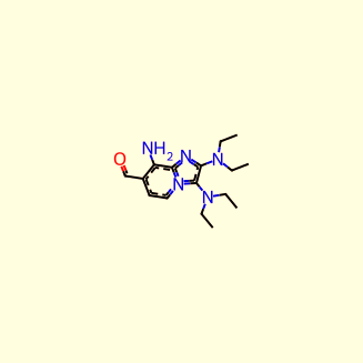 CCN(CC)c1nc2c(N)c(C=O)ccn2c1N(CC)CC